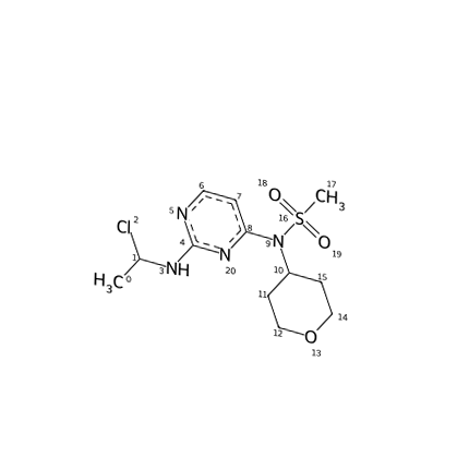 CC(Cl)Nc1nccc(N(C2CCOCC2)S(C)(=O)=O)n1